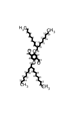 CCCCCCCCCC(CCCCCCCC)COc1cc(C=O)c(OCC(CCCCCCCC)CCCCCCCCC)cc1C=O